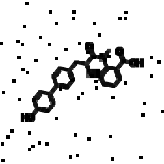 CN(C(=O)C(N)Cc1ccc(-c2ccc(O)cc2)cc1)c1ccccc1C(=O)O